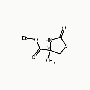 CCOC(=O)[C@@]1(C)CSC(=O)N1